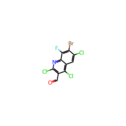 O=Cc1c(Cl)nc2c(F)c(Br)c(Cl)cc2c1Cl